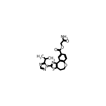 CC(C)c1ncnn1-c1nc2c(s1)CCOc1ccc(C(=O)OCC(N)=O)cc1-2